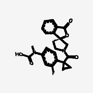 CN(C(=O)O)c1ccc(C2(C(=O)N3CC[C@@]4(C3)OC(=O)c3ccccc34)CC2)c(F)c1